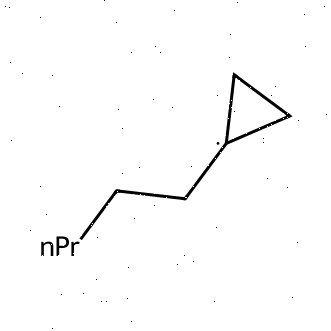 CCCCC[C]1CC1